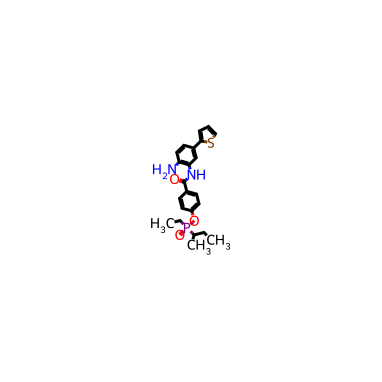 CCC(C)P(=O)(CC)Oc1ccc(C(=O)Nc2cc(-c3cccs3)ccc2N)cc1